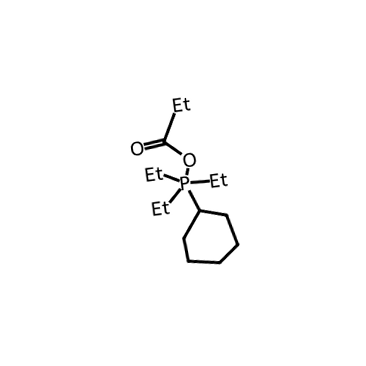 CCC(=O)OP(CC)(CC)(CC)C1CCCCC1